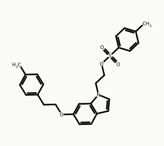 Cc1ccc(CCOc2ccc3ccn(CCOS(=O)(=O)c4ccc(C)cc4)c3c2)cc1